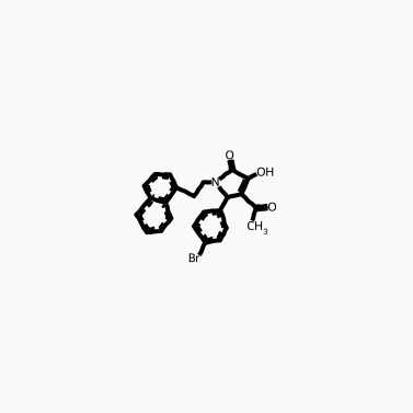 CC(=O)C1=C(O)C(=O)N(CCc2cccc3ccccc23)C1c1ccc(Br)cc1